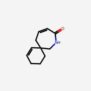 O=C1C=CCC2(C=CCCC2)CN1